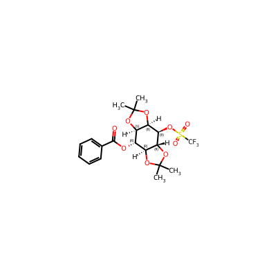 CC1(C)O[C@@H]2[C@@H](OC(=O)c3ccccc3)[C@@H]3OC(C)(C)O[C@H]3[C@H](OS(=O)(=O)C(F)(F)F)[C@@H]2O1